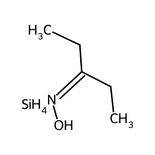 CCC(CC)=NO.[SiH4]